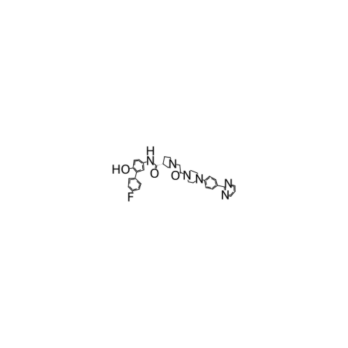 O=C(Nc1ccc(O)c(-c2ccc(F)cc2)c1)[C@@H]1CCN(CC(=O)N2CCN(c3ccc(-c4ncccn4)cc3)CC2)C1